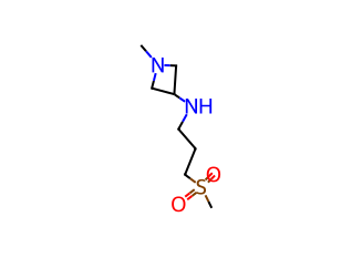 CN1CC(NCCCS(C)(=O)=O)C1